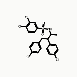 CC(NS(=O)(=O)c1ccc(Cl)c(Cl)c1)C(Cc1ccc(Cl)cc1)c1ccc(Cl)cc1